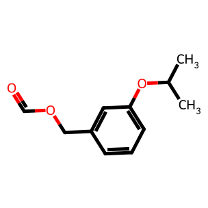 CC(C)Oc1cccc(COC=O)c1